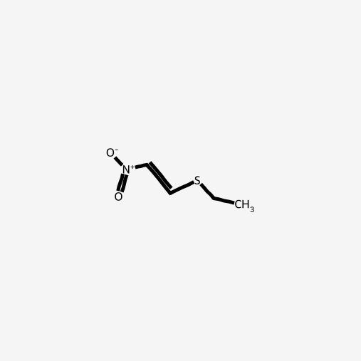 CCSC=C[N+](=O)[O-]